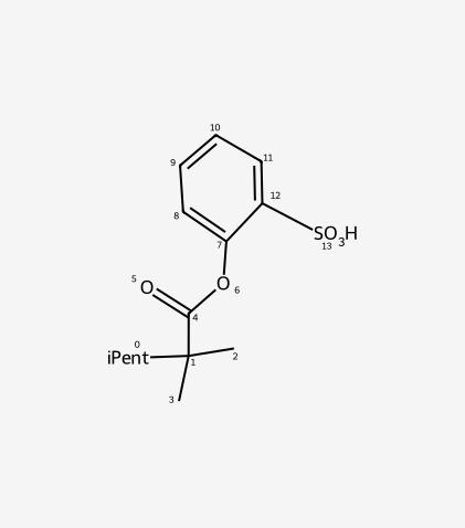 CCCC(C)C(C)(C)C(=O)Oc1ccccc1S(=O)(=O)O